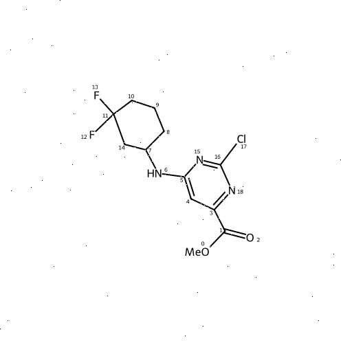 COC(=O)c1cc(NC2CCCC(F)(F)C2)nc(Cl)n1